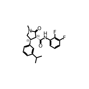 CC(C)c1cccc([C@H]2CN(C)C(=O)[C@@H]2C(=O)Nc2cccc(F)c2F)c1